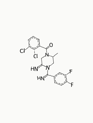 CC1CN(C(=N)c2ccc(F)c(F)c2)C(=N)CN1C(=O)c1cccc(Cl)c1Cl